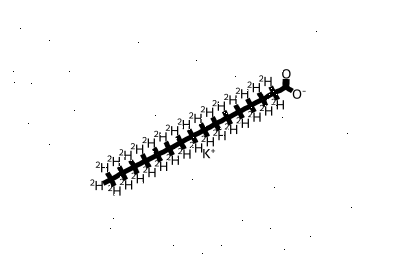 [2H]C([2H])([2H])C([2H])([2H])C([2H])([2H])C([2H])([2H])C([2H])([2H])C([2H])([2H])C([2H])([2H])C([2H])([2H])C([2H])([2H])C([2H])([2H])C([2H])([2H])C([2H])([2H])C([2H])([2H])C([2H])([2H])C([2H])([2H])C(=O)[O-].[K+]